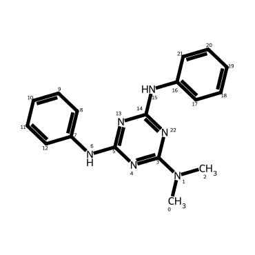 CN(C)c1nc(Nc2ccccc2)nc(Nc2ccccc2)n1